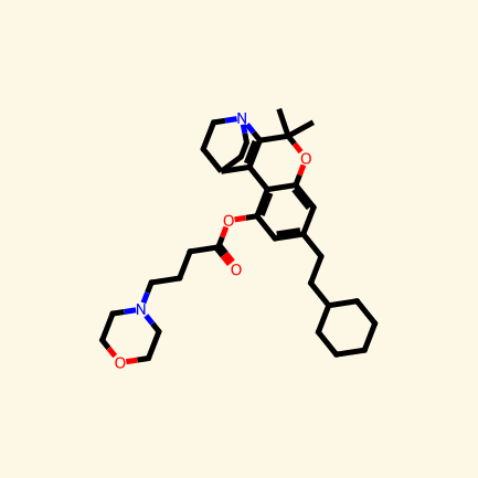 CC1(C)Oc2cc(CCC3CCCCC3)cc(OC(=O)CCCN3CCOCC3)c2C2=C1N1CCC2CC1